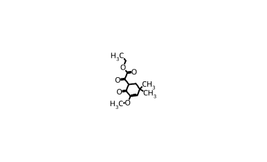 CCOC(=O)C(=O)C1CC(C)(C)C=C(OC)C1=O